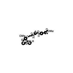 COC(=O)c1cc(-c2ccc(NC(=O)c3cc(NC(=O)CCCOc4cc5c(cc4OC)C(=O)N4CCCC[C@H]4C(OC4CCCCO4)N5C(=O)O)cn3C)cc2)cn1C